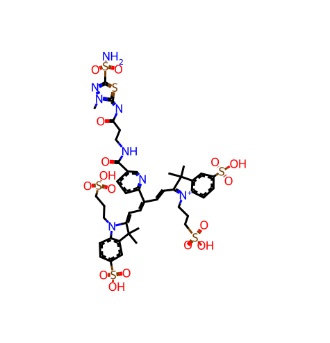 Cn1nc(S(N)(=O)=O)s/c1=N/C(=O)CCNC(=O)c1ccc(C(=C\C=C2\N(CCCS(=O)(=O)O)c3ccc(S(=O)(=O)O)cc3C2(C)C)/C=C/C2=[N+](CCCS(=O)(=O)O)c3ccc(S(=O)(=O)O)cc3C2(C)C)nc1